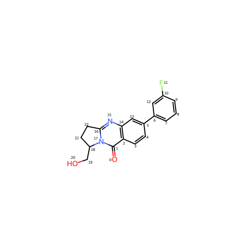 O=c1c2ccc(-c3cccc(F)c3)cc2nc2n1C(CO)CC2